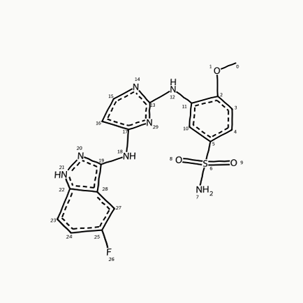 COc1ccc(S(N)(=O)=O)cc1Nc1nccc(Nc2n[nH]c3ccc(F)cc23)n1